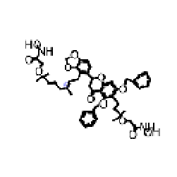 C/C(=C\Cc1c(C2CC(=O)c3c(cc(OCc4ccccc4)c(CCC(C)(C)OCC(=O)NO)c3OCc3ccccc3)O2)ccc2c1OCO2)CCCC(C)(C)OCC(=O)NO